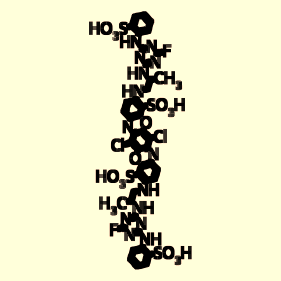 CC(CNc1ccc2c(c1S(=O)(=O)O)Oc1c(Cl)c3c(c(Cl)c1=N2)Oc1c(ccc(NCC(C)Nc2nc(F)nc(Nc4ccccc4S(=O)(=O)O)n2)c1S(=O)(=O)O)N=3)Nc1nc(F)nc(Nc2ccccc2S(=O)(=O)O)n1